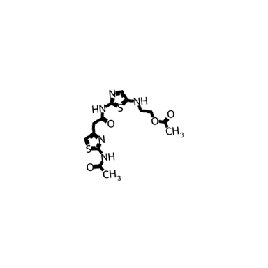 CC(=O)Nc1nc(CC(=O)Nc2ncc(NCCOC(C)=O)s2)cs1